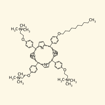 CCCCCCCCCCOc1ccc(-c2c3nc(c(-c4ccc(OCC[N+](C)(C)C)cc4)c4ccc([nH]4)c(-c4ccc(OCC[N+](C)(C)C)cc4)c4nc(c(-c5ccc(OCC[N+](C)(C)C)cc5)c5ccc2[nH]5)C=C4)C=C3)cc1